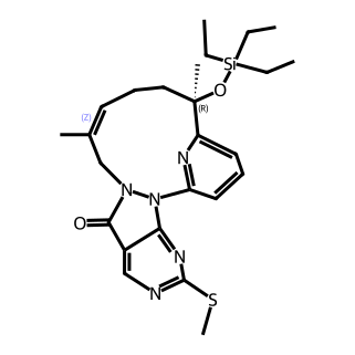 CC[Si](CC)(CC)O[C@]1(C)CC/C=C(/C)Cn2c(=O)c3cnc(SC)nc3n2-c2cccc1n2